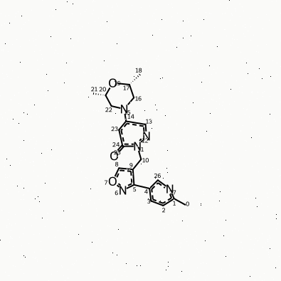 Cc1ccc(-c2nocc2Cn2ncc(N3C[C@@H](C)O[C@@H](C)C3)cc2=O)cn1